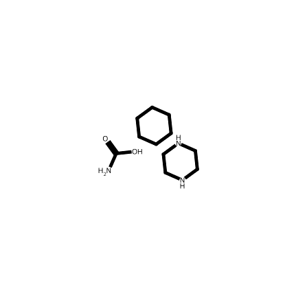 C1CCCCC1.C1CNCCN1.NC(=O)O